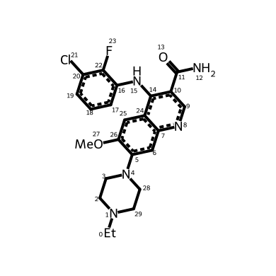 CCN1CCN(c2cc3ncc(C(N)=O)c(Nc4cccc(Cl)c4F)c3cc2OC)CC1